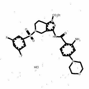 CCOC(=O)n1nc(NC(=O)c2ccc(N3CCOCC3)cc2N)c2c1CCN(S(=O)(=O)c1cc(F)cc(F)c1)C2.Cl